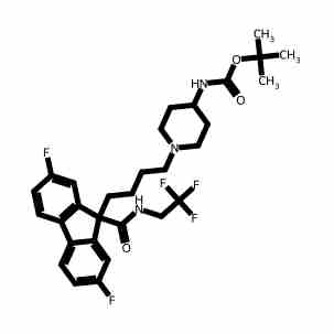 CC(C)(C)OC(=O)NC1CCN(CCCCC2(C(=O)NCC(F)(F)F)c3cc(F)ccc3-c3ccc(F)cc32)CC1